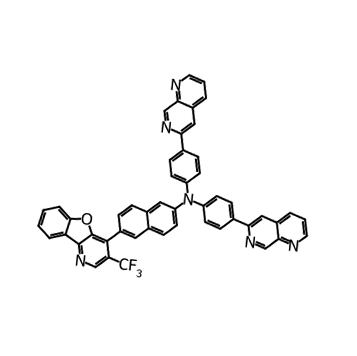 FC(F)(F)c1cnc2c(oc3ccccc32)c1-c1ccc2cc(N(c3ccc(-c4cc5cccnc5cn4)cc3)c3ccc(-c4cc5cccnc5cn4)cc3)ccc2c1